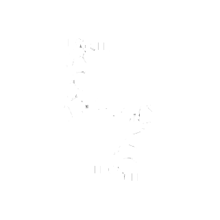 CN(C)c1ccc(/C=C/c2cccc[n+]2CCCCCC[n+]2ccccc2/C=C/c2ccc(N(C)C)cc2)cc1